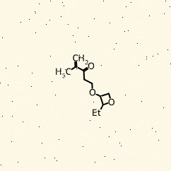 C=C(C)C(=O)CCOC1COC1CC